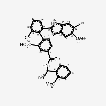 CCCC(NC(=O)c1ccc(-c2c(Cl)cccc2-c2nc3cc(OC)c(F)cc3[nH]2)c(C(=O)O)c1)c1ccccc1OC